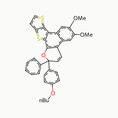 CCCCOc1ccc(C2(c3ccccc3)C=Cc3c(c4sc5ccsc5c4c4cc(OC)c(OC)cc34)O2)cc1